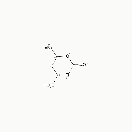 CCCCC(CCC(=O)O)OC(=O)Cl